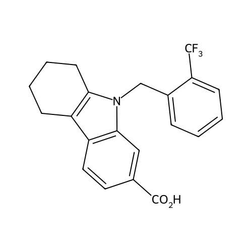 O=C(O)c1ccc2c3c(n(Cc4ccccc4C(F)(F)F)c2c1)CCCC3